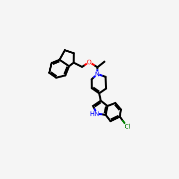 CC(OCC1CCc2ccccc21)N1CC=C(c2c[nH]c3cc(Cl)ccc23)CC1